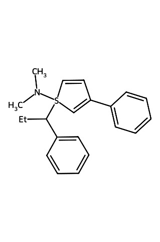 CCC(c1ccccc1)S1(N(C)C)C=CC(c2ccccc2)=C1